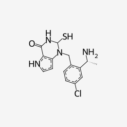 C[C@@H](N)c1cc(Cl)ccc1CN1c2cc[nH]c2C(=O)NC1S